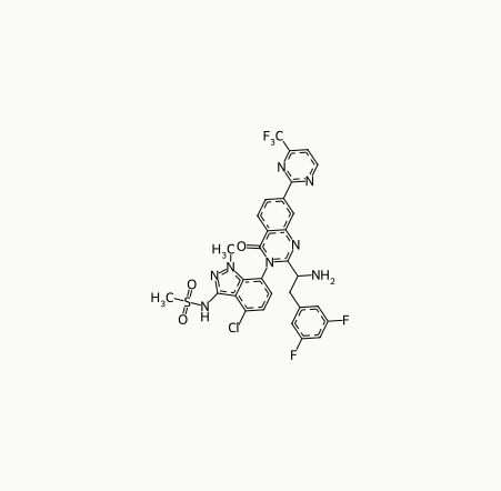 Cn1nc(NS(C)(=O)=O)c2c(Cl)ccc(-n3c(C(N)Cc4cc(F)cc(F)c4)nc4cc(-c5nccc(C(F)(F)F)n5)ccc4c3=O)c21